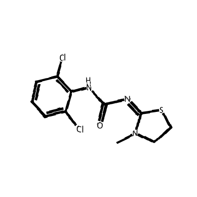 CN1CCS/C1=N/C(=O)Nc1c(Cl)cccc1Cl